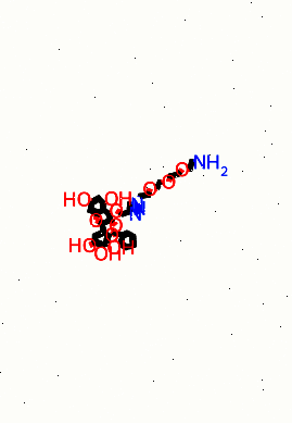 NCCOCCOCCOCCn1cc(COC2c3c(O)cc(O)cc3OC(c3cc(O)c(O)c(O)c3)C2OC(=O)c2ccccc2)nn1